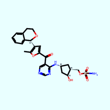 Cc1oc(C(=O)c2cncnc2N[C@@H]2C[C@H](COS(N)(=O)=O)[C@@H](O)C2)cc1[C@H]1OCCc2ccccc21